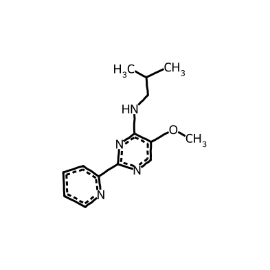 COc1cnc(-c2ccccn2)nc1NCC(C)C